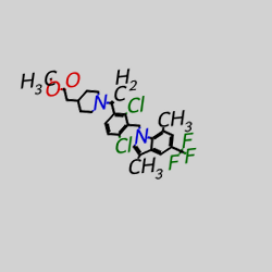 C=C(c1ccc(Cl)c(Cn2cc(C)c3cc(C(F)(F)F)cc(C)c32)c1Cl)N1CCC(CC(=O)OC)CC1